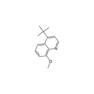 COc1cccc2c(C(C)(C)C)ccnc12